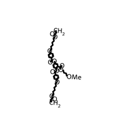 C=CC(=O)OCCCCCCOc1ccc(C(=O)Oc2ccc(OC(=O)c3ccc(OCCCCCCOC(=O)C=C)cc3)c(C(=O)OCCCCOC)c2)cc1